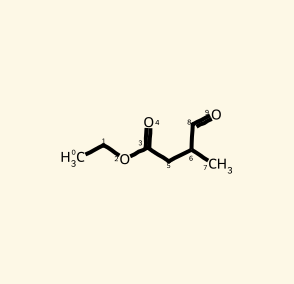 CCOC(=O)CC(C)C=O